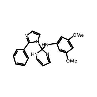 COc1cc(NC2(n3ccnc3-c3ccccc3)N=CC=CN2)cc(OC)c1